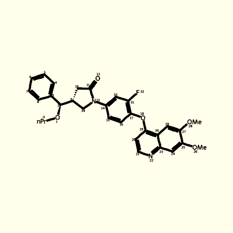 CCCO[C@@H](c1ccccc1)[C@@H]1CC(=O)N(c2ccc(Oc3ccnc4cc(OC)c(OC)cc34)c(F)c2)C1